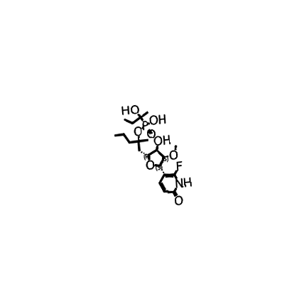 CCCC(C)(C[C@H]1O[C@@H](c2ccc(=O)[nH]c2F)[C@@H](OC)C1O)OP(=O)(O)C(C)(O)CC